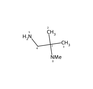 CNC(C)(C)CN